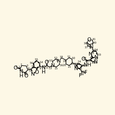 O=C1CCC(c2noc3c(NC(=O)CN4CCN(CC5CCC(n6cc(NC(=O)c7cnn8ccc(N9CC%10CC9CO%10)nc78)c(C(F)F)n6)CC5)CC4)cccc23)C(=O)N1